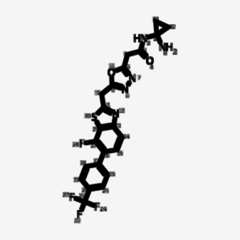 NC1(NC(=O)Cc2nnc(Cc3nc4ccc(-c5ccc(C(F)(F)F)cc5)c(F)c4s3)o2)CC1